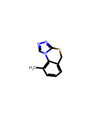 Cc1cccc2c1-n1cnnc1SC2